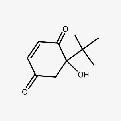 CC(C)(C)C1(O)CC(=O)C=CC1=O